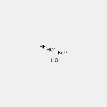 F.[Be+2].[OH-].[OH-]